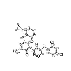 Cn1ncc(Oc2cccc(C3CC3)c2F)c(C2=NOCC(Cc3ccc(Cl)cc3Cl)N2)c1=O